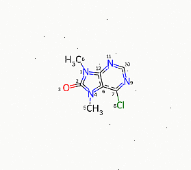 Cn1c(=O)n(C)c2c(Cl)ncnc21